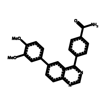 COc1ccc(-c2ccc3ncnc(-c4ccc(C(N)=O)cc4)c3c2)cc1OC